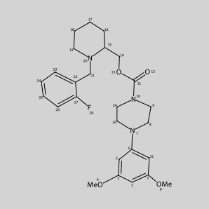 COc1cc(OC)cc(N2CCN(C(=O)OCC3CCCCN3Cc3ccccc3F)CC2)c1